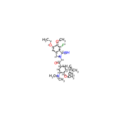 CCOc1cc2c(c(F)c1OC)C(=N)N(CC(=O)c1cc(N(C)C)c(OC)c(C(C)(C)C)c1)C2